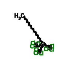 CCCCCCCCCCCCCCCCCC[Si](CCC[Si](Cl)(Cl)Cl)(CCC[Si](Cl)(Cl)Cl)CCC[Si](Cl)(Cl)Cl